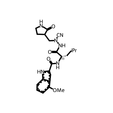 COc1cccc2[nH]c(C(=O)N[C@@H](CC(C)C)C(=O)NN(C#N)CC3CCNC3=O)cc12